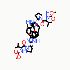 COC(=O)NC(C(=O)N1CCC[C@H]1c1nc(-c2cc3ccc2CCc2ccc(c(-c4ccc5[nH]c([C@@H]6CCCN6C(=O)C(NC(=O)OC)C(C)C)nc5c4)c2)CC3)c[nH]1)C(C)C